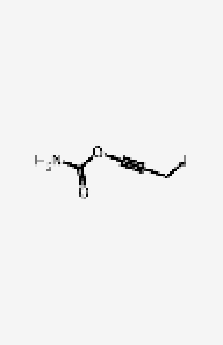 NC(=O)OC#CCI